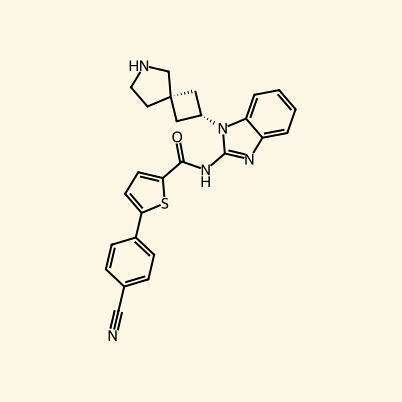 N#Cc1ccc(-c2ccc(C(=O)Nc3nc4ccccc4n3[C@H]3C[C@@]4(CCNC4)C3)s2)cc1